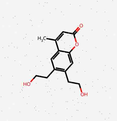 Cc1cc(=O)oc2cc(CCO)c(CCO)cc12